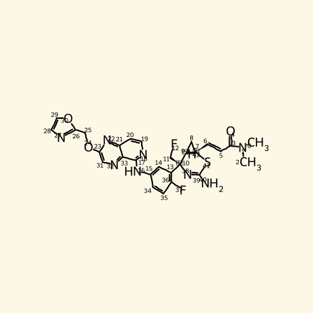 CN(C)C(=O)C=C[C@]12C[C@H]1[C@@](CF)(c1cc(Nc3nccc4nc(OCc5ncco5)cnc34)ccc1F)N=C(N)S2